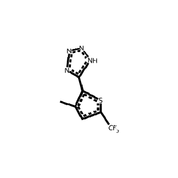 Cc1cc(C(F)(F)F)sc1-c1nnn[nH]1